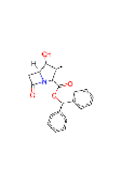 CC1C(O)[C@@H]2CC(=O)N2C1C(=O)OC(c1ccccc1)c1ccccc1